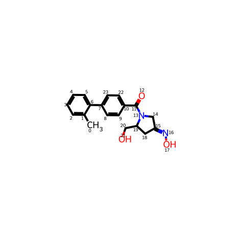 Cc1ccccc1-c1ccc(C(=O)N2CC(=NO)CC2CO)cc1